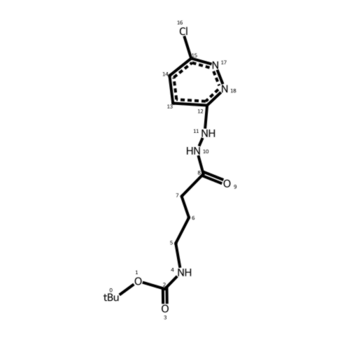 CC(C)(C)OC(=O)NCCCC(=O)NNc1ccc(Cl)nn1